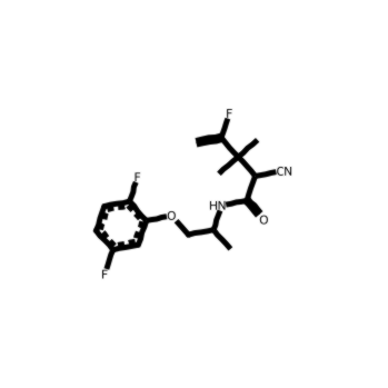 C=C(F)C(C)(C)C(C#N)C(=O)NC(C)COc1cc(F)ccc1F